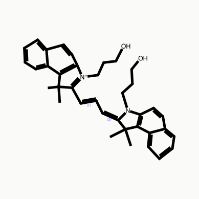 CC1(C)C(/C=C/C=C2\N(CCCO)c3ccc4ccccc4c3C2(C)C)=[N+](CCCO)c2ccc3ccccc3c21